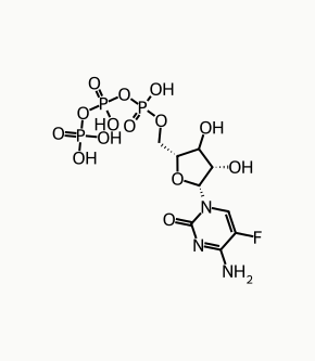 Nc1nc(=O)n([C@@H]2O[C@H](COP(=O)(O)OP(=O)(O)OP(=O)(O)O)C(O)[C@@H]2O)cc1F